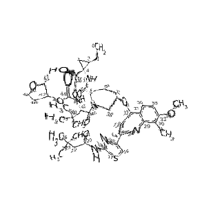 C=C[C@@H]1C[C@]1(NC(=O)[C@@H]1C[C@@H](Oc2cc(-c3csc(NC(=O)CC(C)(C)C)n3)nc3c(C)c(OC)ccc23)CN1C(=O)[C@@H](NC(=O)OC1CCOC1)C(C)(C)C)C(=O)O